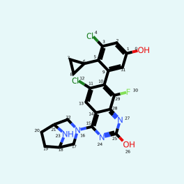 Oc1cc(Cl)c(C2CC2)c(-c2c(Cl)cc3c(N4CC5CCC(C4)N5)nc(O)nc3c2F)c1